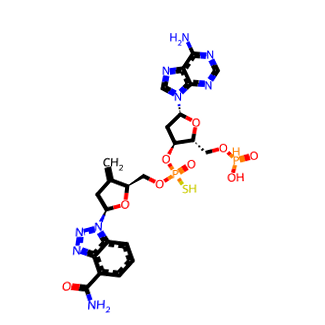 C=C1C[C@H](n2nnc3c(C(N)=O)cccc32)O[C@@H]1COP(=O)(S)O[C@H]1C[C@H](n2cnc3c(N)ncnc32)O[C@@H]1CO[PH](=O)O